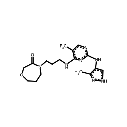 Cc1n[nH]cc1Nc1ncc(C(F)(F)F)c(NCCCN2CCCOCC2=O)n1